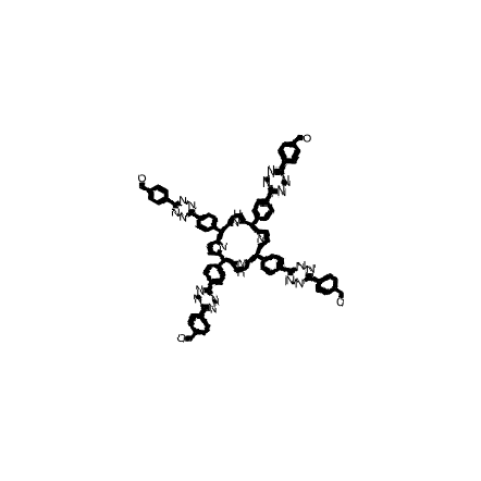 O=Cc1ccc(-c2nnc(-c3ccc(-c4c5nc(c(-c6ccc(-c7nnc(-c8ccc(C=O)cc8)nn7)cc6)c6ccc([nH]6)c(-c6ccc(-c7nnc(-c8ccc(C=O)cc8)nn7)cc6)c6nc(c(-c7ccc(-c8nnc(-c9ccc(C=O)cc9)nn8)cc7)c7ccc4[nH]7)C=C6)C=C5)cc3)nn2)cc1